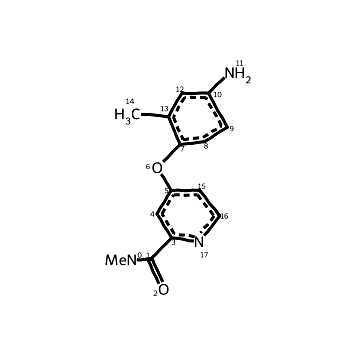 CNC(=O)c1cc(Oc2ccc(N)cc2C)ccn1